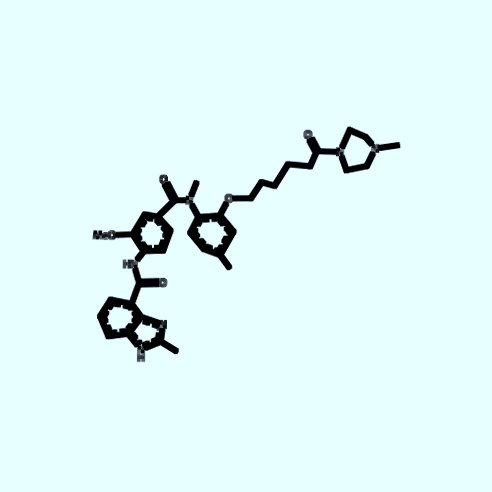 COc1cc(C(=O)N(C)c2ccc(C)cc2OCCCCCC(=O)N2CCN(C)CC2)ccc1NC(=O)c1cccc2[nH]c(C)nc12